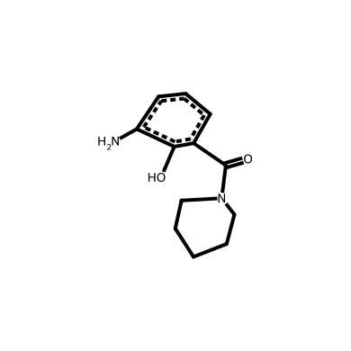 Nc1cccc(C(=O)N2CCCCC2)c1O